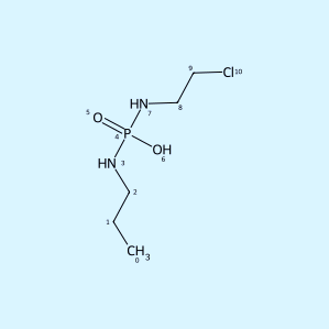 CCCNP(=O)(O)NCCCl